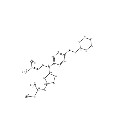 CC(C)=CCN(c1ccc(CCC2CCCCC2)cc1)C1CCN(CC(N)CC(C)C)C1